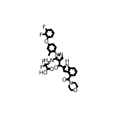 Cc1cc(Oc2cccc(F)c2F)ccc1-n1ncc(C(=O)c2cc3c(C(=O)N4CCOCC4)cccc3[nH]2)c1N.O=C(O)C(F)(F)F